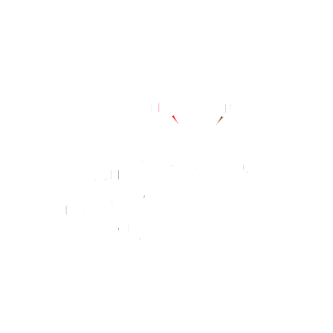 C=P(C)(C)CCC1O[C@@H](C)[C@H](Br)[C@@H]1O